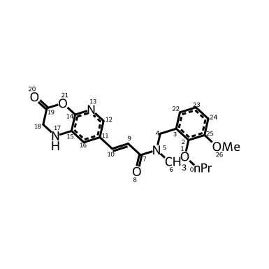 CCCOc1c(CN(C)C(=O)/C=C/c2cnc3c(c2)NCC(=O)O3)cccc1OC